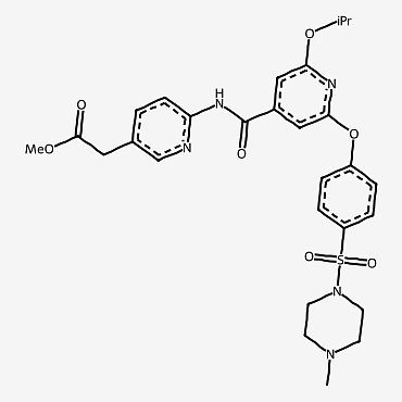 COC(=O)Cc1ccc(NC(=O)c2cc(Oc3ccc(S(=O)(=O)N4CCN(C)CC4)cc3)nc(OC(C)C)c2)nc1